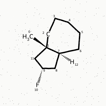 C[C@@]12CCCCC[C@H]1C[C@H](F)C2